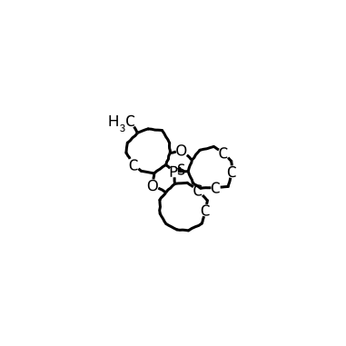 CC1CCCCC2OC3CCCCCCCCCCC3P3(=S)C4CCCCCCCCCC4OC(CCC1)C23